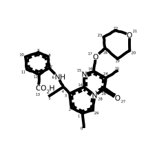 Cc1cc(C(C)Nc2ccccc2C(=O)O)c2nc(OC3CCOCC3)c(C)c(=O)n2c1